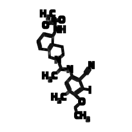 CCOc1c(C)cc(N=C(C)N2CCc3c(cccc3NS(C)(=O)=O)C2)c(C#N)c1I